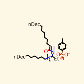 CCCCCCCCCCCCCCCCCC(=O)NC(CC)[N+](C)(C)CCCCCCCCCCCCCCCC.Cc1ccc(S(=O)(=O)[O-])cc1